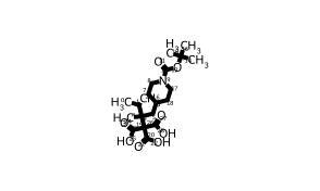 CC(C)C(C)(CC1CCN(C(=O)OC(C)(C)C)CC1)C(C(=O)O)(C(=O)O)C(=O)O